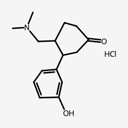 CN(C)CC1CCC(=O)CC1c1cccc(O)c1.Cl